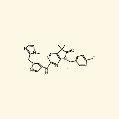 C[C@@H](c1ccc(F)cc1)N1C(=O)C(C)(C)c2cnc(Nc3cnn(Cc4nccn4C)c3)nc21